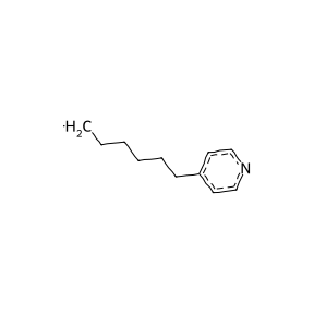 [CH2]CCCCCc1ccncc1